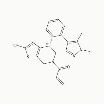 C=CC(=O)N1Cc2sc(Cl)cc2[C@H](c2ccccc2-c2cnn(C)c2C)C1